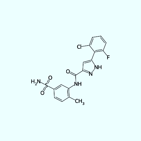 Cc1ccc(S(N)(=O)=O)cc1NC(=O)c1cc(-c2c(F)cccc2Cl)[nH]n1